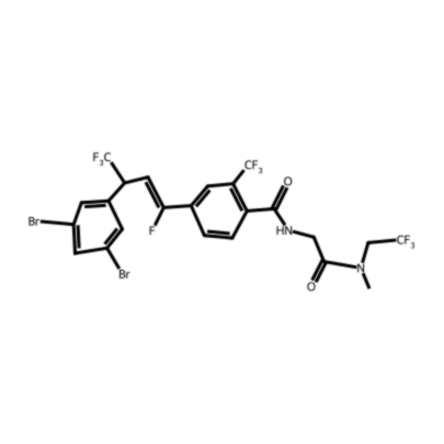 CN(CC(F)(F)F)C(=O)CNC(=O)c1ccc(C(F)=CC(c2cc(Br)cc(Br)c2)C(F)(F)F)cc1C(F)(F)F